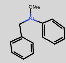 CO[N+](Cc1ccccc1)c1ccccc1